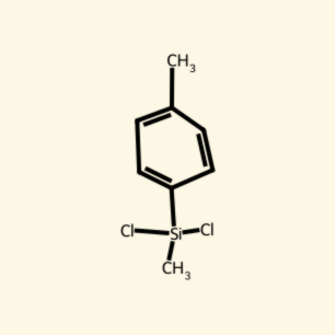 Cc1ccc([Si](C)(Cl)Cl)cc1